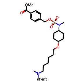 CCCCCN(C)CCCCCCO[C@H]1CC[C@H](N(C)S(=O)(=O)OCc2ccc(C(=O)OC)cc2)CC1